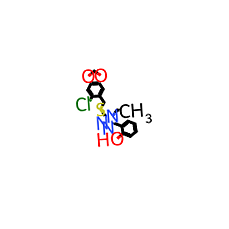 CCn1c(SCc2cc3c(cc2Cl)OCO3)nnc1-c1ccccc1O